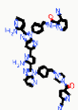 N#Cc1ccc(C(=O)N2CCN(Cc3ccc(-n4c(-c5ccc(-c6cnc7c(c6)nc(-c6cccnc6N)n7-c6ccc(CNC(=O)c7ncccc7C#N)cc6)nc5N)nc5cccnc54)cc3)CC2)cn1